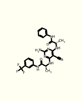 C[C@H](Nc1nc(N)nc(N[C@@H](C)C(=O)Nc2cccc(C(F)(F)F)c2)c1C#N)C(=O)Nc1ccccc1